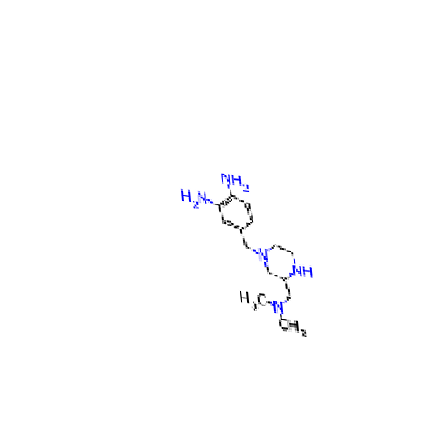 CN(C)CC1CN(Cc2ccc(N)c(N)c2)CCN1